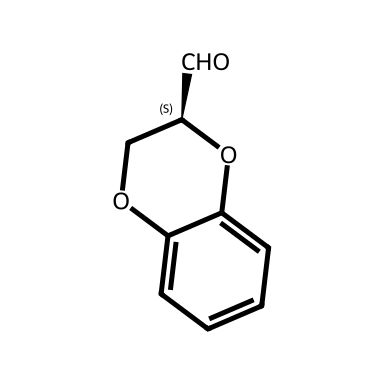 O=C[C@@H]1COc2ccccc2O1